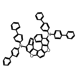 c1ccc(-c2ccc(N(c3ccc(-c4ccccc4)cc3)c3cc4oc5ccc6oc7cc(N(c8ccc(-c9ccccc9)cc8)c8ccc(-c9ccccc9)cc8)c8ccccc8c7c6c5c4c4ccccc34)cc2)cc1